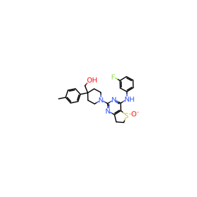 Cc1ccc(C2(CO)CCN(c3nc4c(c(Nc5cccc(F)c5)n3)[S+]([O-])CC4)CC2)cc1